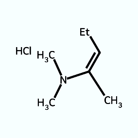 CCC=C(C)N(C)C.Cl